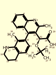 Cc1nc2ccccc2c(-c2ccc3c(c2C)NCCC3)c1[C@H](OC(C)(C)C)C(=O)O